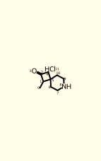 CC1C(=O)CC12CCNCC2.Cl